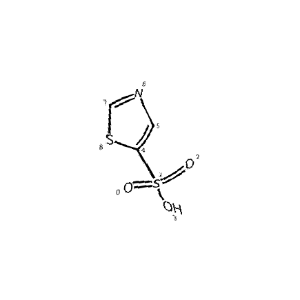 O=S(=O)(O)c1cncs1